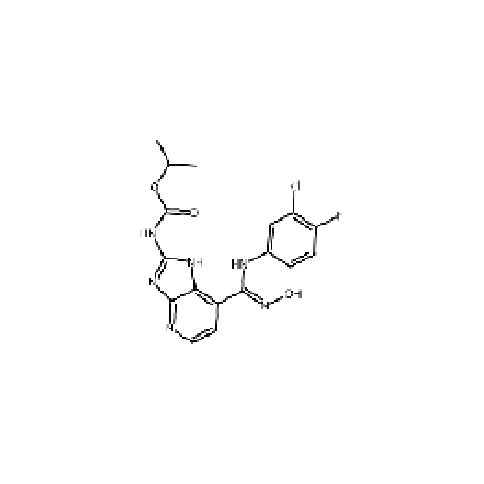 CC(C)OC(=O)Nc1nc2nccc(/C(=N/O)Nc3ccc(F)c(Cl)c3)c2[nH]1